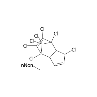 CCCCCCCCCC.ClC1=C(Cl)C2(Cl)C3C(Cl)C=CC3C1(Cl)C2(Cl)Cl